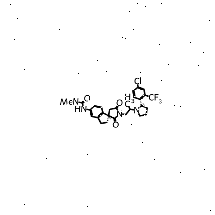 CNC(=O)Nc1ccc2c(c1)CC[C@@]21CC(=O)N(CC(C)N2CCC[C@H]2c2ccc(Cl)cc2C(F)(F)F)C1=O